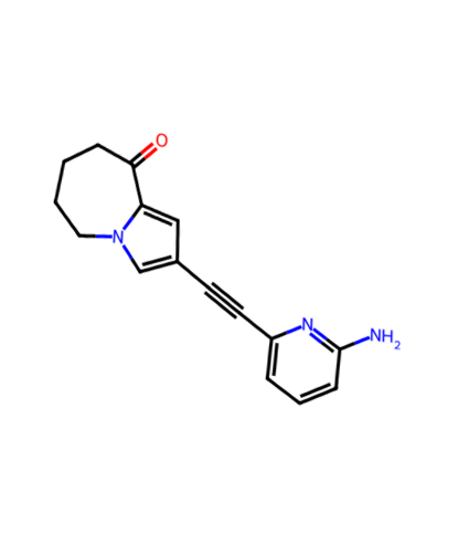 Nc1cccc(C#Cc2cc3n(c2)CCCCC3=O)n1